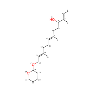 C/C=C(\C)C(O)CC/C(C)=C/CC/C(C)=C/COC1CCCCO1